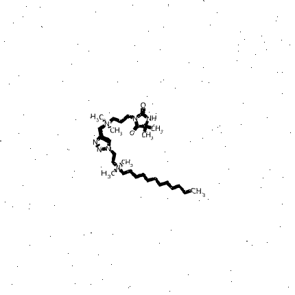 CCCCCCCCCCCC[N+](C)(C)CCn1cc(C[N+](C)(C)CCCN2C(=O)NC(C)(C)C2=O)nn1